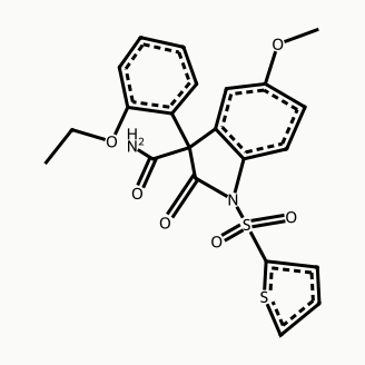 CCOc1ccccc1C1(C(N)=O)C(=O)N(S(=O)(=O)c2cccs2)c2ccc(OC)cc21